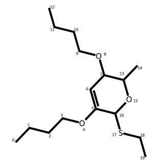 CCCCOC1=CC(OCCCC)C(C)OC1SCC